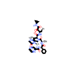 CCCN1CC(=O)N(CC)C12C[C@@H](C(=O)NC(CC(C)C)C(=O)C(=O)NC1CC1)N(C(=O)[C@@H](NC(=O)[C@@H](NC(=O)c1cnccn1)C1CCCCC1)C(C)(C)C)C2